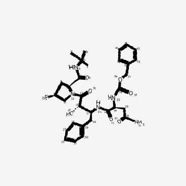 CC(C)(C)NC(=O)[C@@H]1C[C@H](F)CN1C(=O)[C@@H](O)[C@H](Cc1ccccc1)NC(=O)[C@H](CC(N)=O)NC(=O)OCc1ccccc1